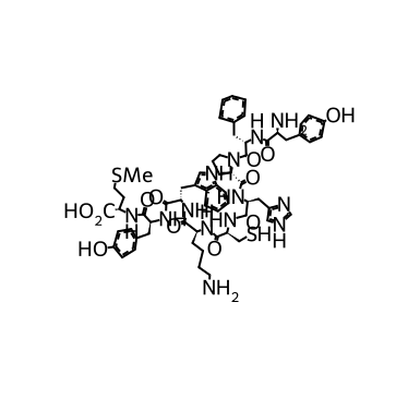 CSCC[C@H](NC(=O)[C@H](Cc1ccc(O)cc1)NC(=O)[C@H](Cc1c[nH]c2ccccc12)NC(=O)[C@H](CCCCN)NC(=O)[C@H](CS)NC(=O)[C@H](Cc1c[nH]cn1)NC(=O)[C@@H]1CCCN1C(=O)[C@H](Cc1ccccc1)NC(=O)[C@@H](N)Cc1ccc(O)cc1)C(=O)O